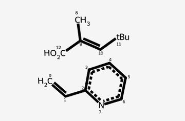 C=Cc1ccccn1.CC(=CC(C)(C)C)C(=O)O